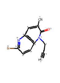 C#CCn1c(=O)c(C#N)cc2nc(Br)ccc21